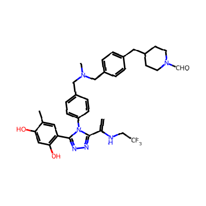 C=C(NCC(F)(F)F)c1nnc(-c2cc(C)c(O)cc2O)n1-c1ccc(CN(C)Cc2ccc(CC3CCN(C=O)CC3)cc2)cc1